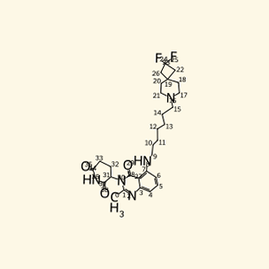 Cc1nc2cccc(NCCCCCCCN3CCC4(CC3)CC(F)(F)C4)c2c(=O)n1C1CCC(=O)NC1=O